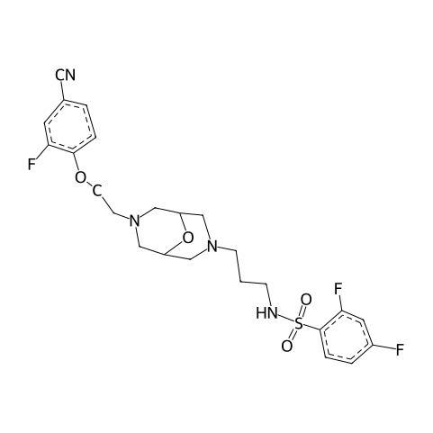 N#Cc1ccc(OCCN2CC3CN(CCCNS(=O)(=O)c4ccc(F)cc4F)CC(C2)O3)c(F)c1